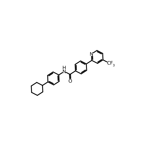 O=C(Nc1ccc(C2CCCCC2)cc1)c1ccc(-c2cc(C(F)(F)F)ccn2)cc1